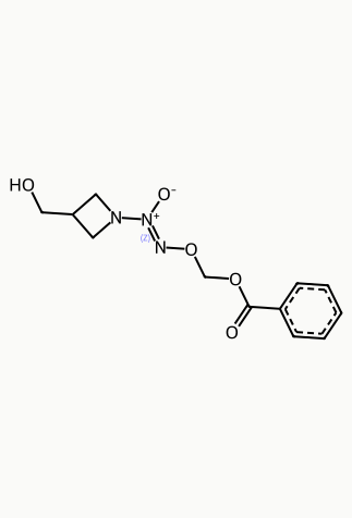 O=C(OCO/N=[N+](\[O-])N1CC(CO)C1)c1ccccc1